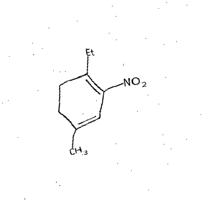 CCC1=C([N+](=O)[O-])C=C(C)CC1